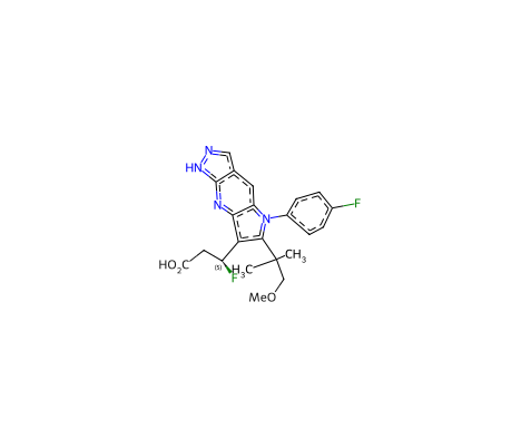 COCC(C)(C)c1c([C@@H](F)CC(=O)O)c2nc3[nH]ncc3cc2n1-c1ccc(F)cc1